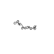 CCOC(=O)C(C)(C)c1cccc(CN2CCc3ccc(C(=O)CCCC4CCN(Cc5ccccc5Cl)CC4)cc3CC2)c1